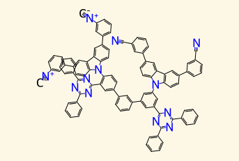 [C-]#[N+]c1cccc(-c2ccc3c(c2)c2cc(-c4cccc([N+]#[C-])c4)ccc2n3-c2ccc(-c3cccc(-c4cc(-c5nc(-c6ccccc6)nc(-c6ccccc6)n5)cc(-n5c6ccc(-c7cccc(C#N)c7)cc6c6cc(-c7cccc(C#N)c7)ccc65)c4)c3)cc2-c2nc(-c3ccccc3)nc(-c3ccccc3)n2)c1